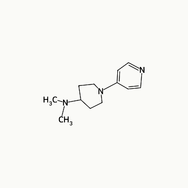 CN(C)C1CCN(c2ccncc2)CC1